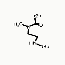 CN(CCNC(C)(C)C)C(=O)C(C)(C)C